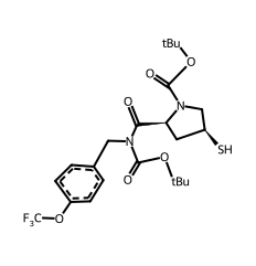 CC(C)(C)OC(=O)N(Cc1ccc(OC(F)(F)F)cc1)C(=O)[C@@H]1C[C@H](S)CN1C(=O)OC(C)(C)C